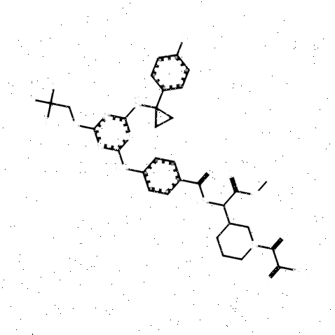 COC(=O)C(NC(=O)c1ccc(Nc2nc(NC3(c4ccc(Cl)cc4)CC3)nc(OCC(F)(F)F)n2)cc1)C1CCCN(C(=O)C(N)=O)C1